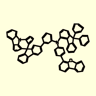 c1ccc(C2(c3ccccc3)c3ccccc3-c3c(N(c4ccc(-c5cccc6c5oc5ccccc56)cc4)c4cccc(-c5ccc6c(c5)C5(c7ccccc7-6)c6ccccc6-n6c7ccccc7c7cccc5c76)c4)cccc32)cc1